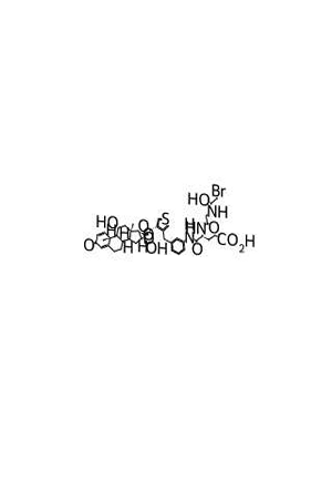 C[C@]12C=CC(=O)C=C1CC[C@@H]1[C@@H]2[C@@H](O)C[C@@]2(C)[C@H]1C[C@H]1O[C@@H](c3cscc3Cc3cccc(NC(=O)[C@H](CCC(=O)O)NC(=O)CNC(O)CBr)c3)O[C@]12C(=O)CO